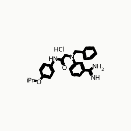 CC(C)Oc1ccc(NC(=O)CN(Cc2ccccc2)c2cccc(C(=N)N)c2)cc1.Cl